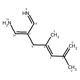 C=C(C)/C=C(\C)C/C(C=N)=C/N